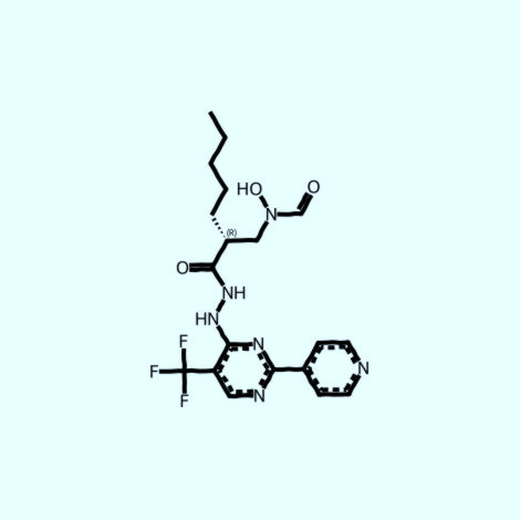 CCCCC[C@H](CN(O)C=O)C(=O)NNc1nc(-c2ccncc2)ncc1C(F)(F)F